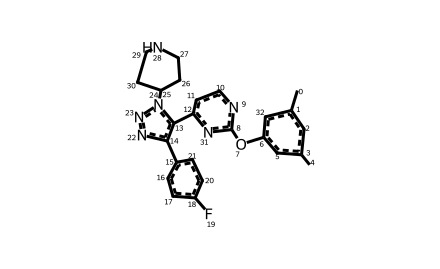 Cc1cc(C)cc(Oc2nccc(-c3c(-c4ccc(F)cc4)nnn3C3CCNCC3)n2)c1